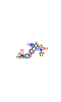 O=C(N[C@@H](O)c1ccsc1)c1ccc2[nH]nc(-c3ccc(OC4CCN(C[C@@H](O)C(F)(F)F)CC4)cc3)c2c1